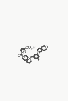 Cc1cc(CN2CCCC23CCN(C(=O)n2ccc(C(=O)O)n2)CC3)cc(N2CCC3(CCOCC3)C2)c1